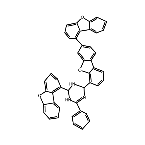 c1ccc(C2=NC(c3cccc4c3oc3cc(-c5cccc6oc7ccccc7c56)ccc34)NC(c3cccc4oc5ccccc5c34)N2)cc1